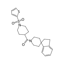 O=C(C1CCN(S(=O)(=O)c2cccs2)CC1)N1CCC2(CCc3ccccc32)CC1